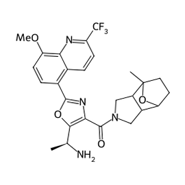 COc1ccc(-c2nc(C(=O)N3CC4C5CCC(C)(O5)C4C3)c([C@H](C)N)o2)c2ccc(C(F)(F)F)nc12